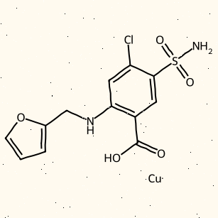 NS(=O)(=O)c1cc(C(=O)O)c(NCc2ccco2)cc1Cl.[Cu]